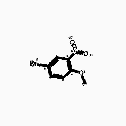 COc1ccc(Br)cc1[SH](=O)=O